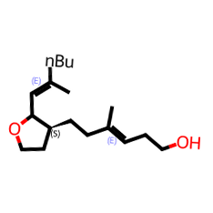 CCCC/C(C)=C/C1OCC[C@@H]1CC/C(C)=C/CCO